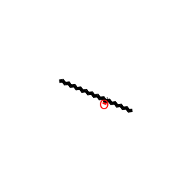 CCCCCCCCCCCCCCC[CH]C(=O)CCCCCCCCC